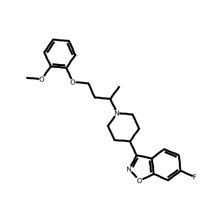 COc1ccc[c]c1OCCC(C)N1CCC(c2noc3cc(F)ccc23)CC1